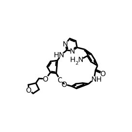 Nc1cc2ccc1-c1ccnc(n1)Nc1ccc(OCC3CCOC3)c(c1)COc1ccc(cc1)NC2=O